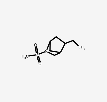 CCC1CC2CC1CN2S(C)(=O)=O